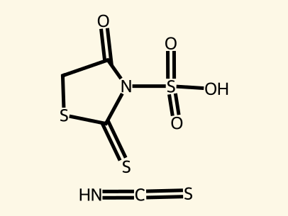 N=C=S.O=C1CSC(=S)N1S(=O)(=O)O